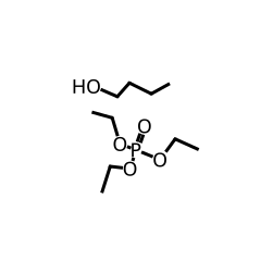 CCCCO.CCOP(=O)(OCC)OCC